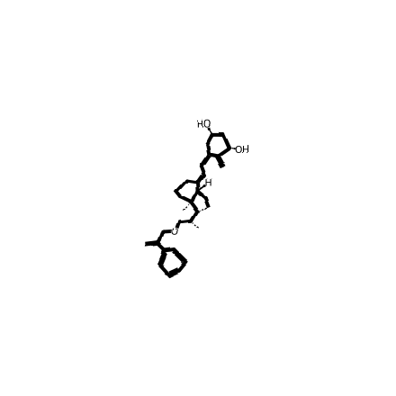 C=C(COC[C@@H](C)[C@H]1CC[C@H]2/C(=C/C=C3/C[C@@H](O)C[C@H](O)C3=C)CCC[C@]12C)c1ccccc1